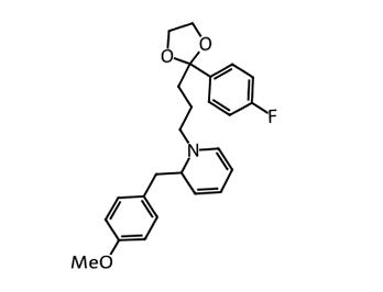 COc1ccc(CC2C=CC=CN2CCCC2(c3ccc(F)cc3)OCCO2)cc1